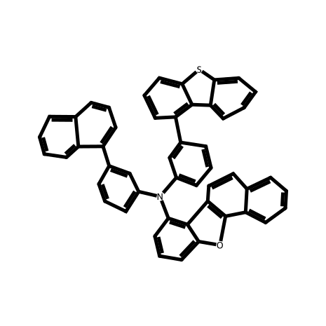 c1cc(-c2cccc3ccccc23)cc(N(c2cccc(-c3cccc4sc5ccccc5c34)c2)c2cccc3oc4c5ccccc5ccc4c23)c1